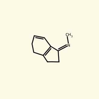 C/N=C1/CCC2=C1C=CCC2